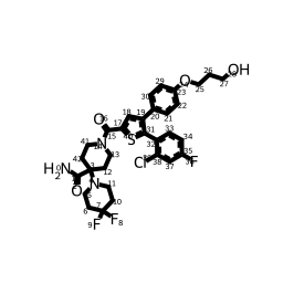 NC(=O)C1(N2CCC(F)(F)CC2)CCN(C(=O)c2cc(-c3ccc(OCCCO)cc3)c(-c3ccc(F)cc3Cl)s2)CC1